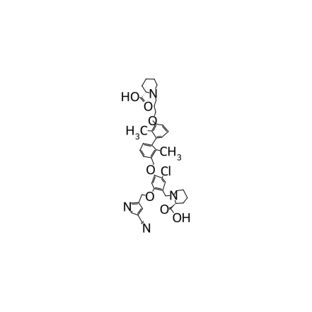 Cc1c(COc2cc(OCc3cncc(C#N)c3)c(CN3CCCC[C@H]3C(=O)O)cc2Cl)cccc1-c1cccc(OCCCN2CCCC[C@H]2C(=O)O)c1C